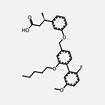 CCCCCOc1cc(COc2cccc([C@H](C)CC(=O)O)c2)ccc1-c1cc(OC)ccc1F